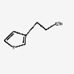 CC(C)(C)CCc1ccsc1